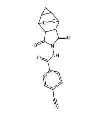 N#Cc1ccc(C(=O)NN2C(=O)C3C4CCC(C5CC54)C3C2=O)cc1